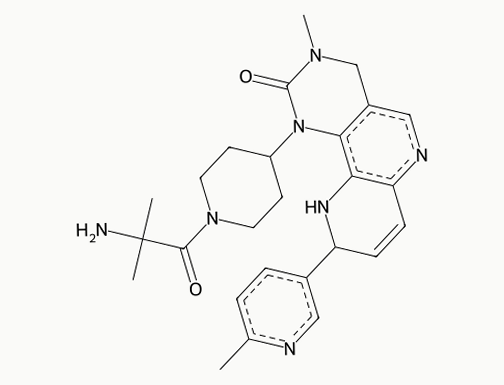 Cc1ccc(C2C=Cc3ncc4c(c3N2)N(C2CCN(C(=O)C(C)(C)N)CC2)C(=O)N(C)C4)cn1